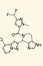 Cn1nc(C(F)F)cc1C(=O)N1CCc2[nH]cnc2C1c1cc2c(Cl)cccn2n1